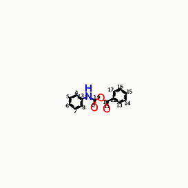 O=C(Nc1[c]cccc1)OC(=O)c1ccccc1